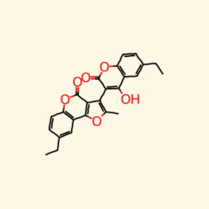 CCc1ccc2oc(=O)c(-c3c(C)oc4c3c(=O)oc3ccc(CC)cc34)c(O)c2c1